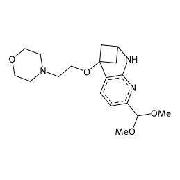 COC(OC)c1ccc2c(n1)NC1CC2(OCCN2CCOCC2)C1